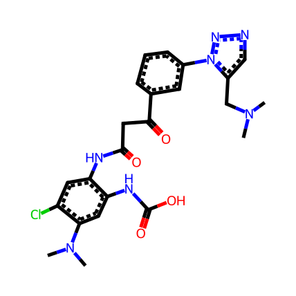 CN(C)Cc1cnnn1-c1cccc(C(=O)CC(=O)Nc2cc(Cl)c(N(C)C)cc2NC(=O)O)c1